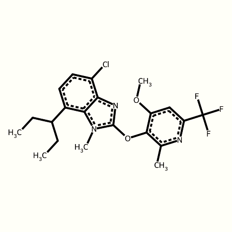 CCC(CC)c1ccc(Cl)c2nc(Oc3c(OC)cc(C(F)(F)F)nc3C)n(C)c12